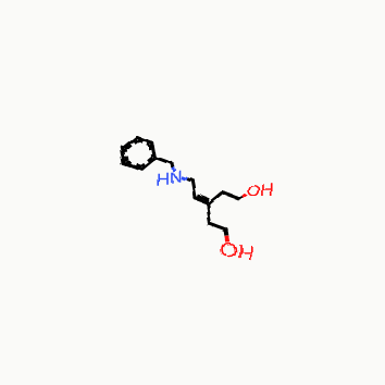 OCCC(=CCNCc1ccccc1)CCO